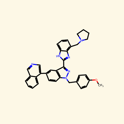 COc1ccc(Cn2nc(-c3nc4c(CN5CCCC5)cccc4[nH]3)c3cc(-c4cncc5ccccc45)ccc32)cc1